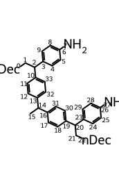 CCCCCCCCCCCC(c1ccc(N)cc1)c1ccc(C(C)c2ccc(C(CCCCCCCCCCC)c3ccc(N)cc3)cc2)cc1